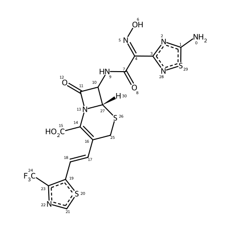 Nc1nc(C(=NO)C(=O)NC2C(=O)N3C(C(=O)O)=C(C=Cc4scnc4C(F)(F)F)CS[C@@H]23)ns1